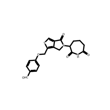 O=Cc1ccc(OCc2scc3c2CN(C2CCCC(=O)NC2=O)C3=O)cc1